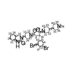 Cc1c(Br)cc(CC(CC(=O)N2CCC(N3Cc4ccccc4NC3=O)CC2)C(=O)N2CCC(C3CCN(C)CC3)CC2)cc1Br